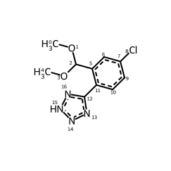 COC(OC)c1cc(Cl)ccc1-c1nn[nH]n1